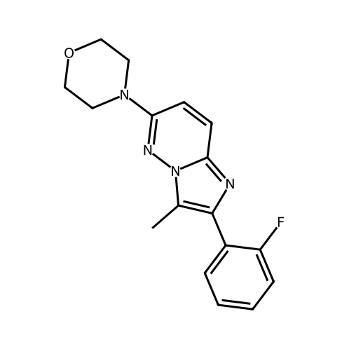 Cc1c(-c2ccccc2F)nc2ccc(N3CCOCC3)nn12